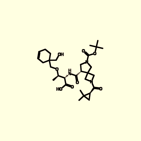 C[C@@H](OCC1(CO)CC=CCC1)[C@H](NC(=O)[C@@H]1CN(C(=O)OC(C)(C)C)CC12CN(C(=O)[C@H]1CC1(C)C)C2)C(=O)O